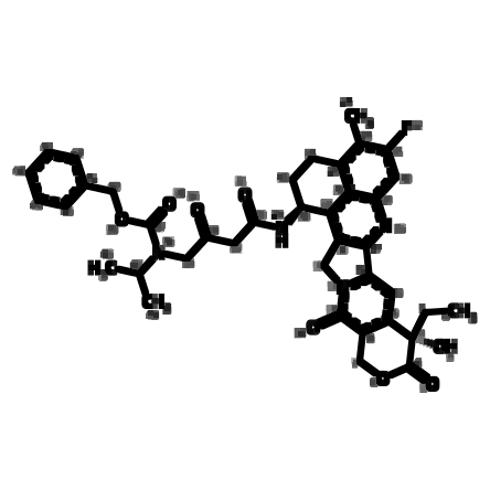 CC[C@@]1(O)C(=O)OCc2c1cc1n(c2=O)Cc2c-1nc1cc(F)c(C)c3c1c2[C@@H](NC(=O)CC(=O)CN(C(=O)OCc1ccccc1)C(C)C)CC3